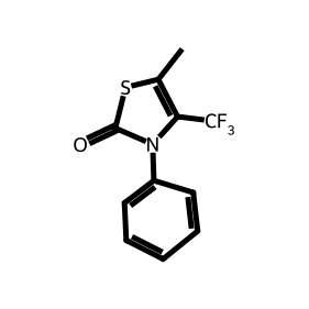 Cc1sc(=O)n(-c2ccccc2)c1C(F)(F)F